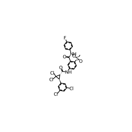 CS(=O)(=O)c1ccc(NC(=O)[C@@H]2[C@@H](c3cc(Cl)cc(Cl)c3)C2(Cl)Cl)cc1C(=O)Nc1ccc(F)cc1